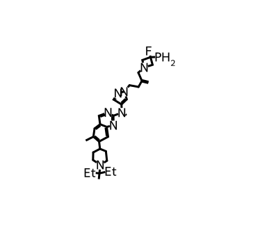 C=C(CCn1cc(N(C)c2ncc3cc(C)c(C4CCN(C(C)(CC)CC)CC4)cc3n2)cn1)CN1CC(F)(P)C1